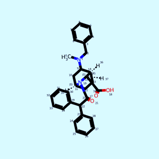 CN(Cc1ccccc1)C1C[C@@H]2CC[C@H]1[C@@H](C(=O)O)N2C(=O)C(c1ccccc1)c1ccccc1